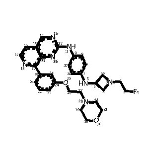 FCCN1CC(Nc2ccc(Nc3ncc4ccnc(-c5cccc(OCCN6CCOCC6)c5)c4n3)cc2)C1